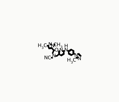 Cc1cc(C2CN(CC#N)Cc3ccc(Nc4ccc(-n5ccnc5C)cc4)nc3O2)n(C)n1